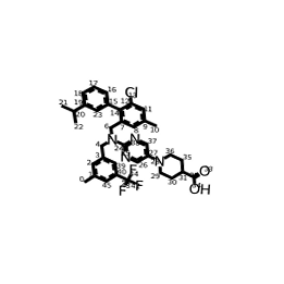 Cc1cc(CN(Cc2cc(C)cc(Cl)c2-c2cccc(C(C)C)c2)c2ncc(N3CCC(C(=O)O)CC3)cn2)cc(C(F)(F)F)c1